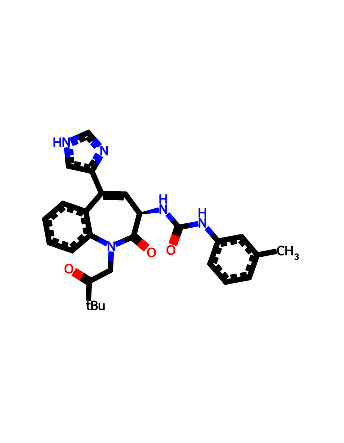 Cc1cccc(NC(=O)N[C@@H]2C=C(c3c[nH]cn3)c3ccccc3N(CC(=O)C(C)(C)C)C2=O)c1